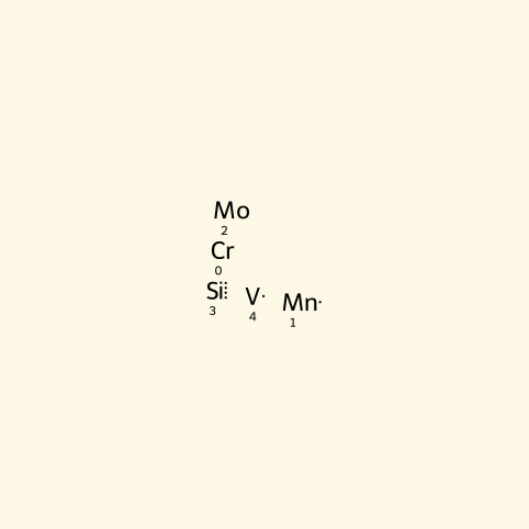 [Cr].[Mn].[Mo].[Si].[V]